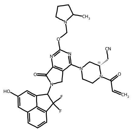 C=CC(=O)N1CCN(c2nc(OCN3CCCC3C)nc3c2CN(C2c4cc(O)cc5cccc(c45)C2(F)F)C3=O)C[C@@H]1CC#N